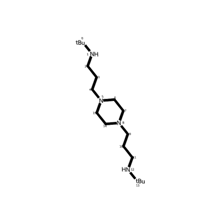 CC(C)(C)NCCCN1CCN(CCCNC(C)(C)C)CC1